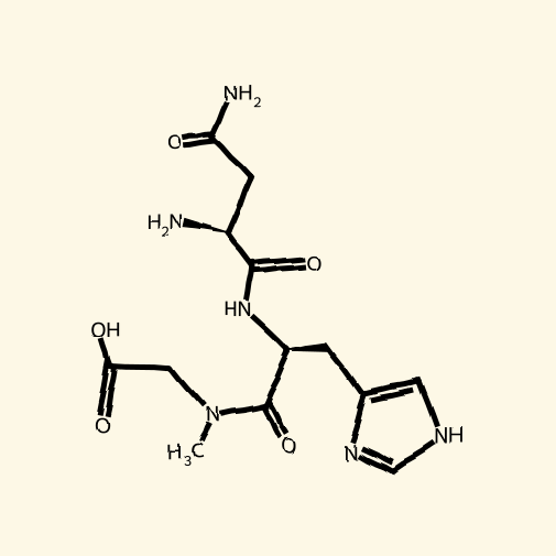 CN(CC(=O)O)C(=O)[C@H](Cc1c[nH]cn1)NC(=O)[C@@H](N)CC(N)=O